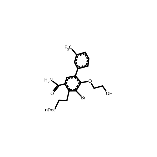 CCCCCCCCCCCCc1c(C(N)=O)cc(-c2cccc(C(F)(F)F)c2)c(OCCO)c1Br